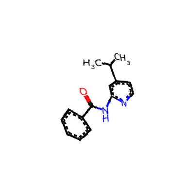 CC(C)c1ccnc(NC(=O)c2ccccc2)c1